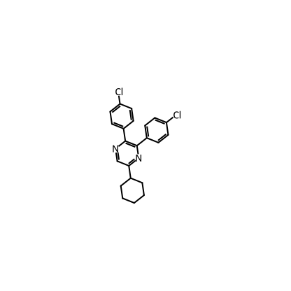 Clc1ccc(-c2ncc(C3CCCCC3)nc2-c2ccc(Cl)cc2)cc1